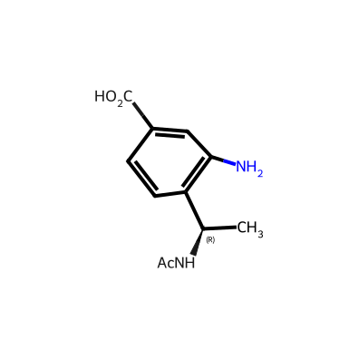 CC(=O)N[C@H](C)c1ccc(C(=O)O)cc1N